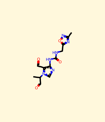 Cc1noc(CNC(=O)Nc2ncn(C(C)C=O)c2C=O)n1